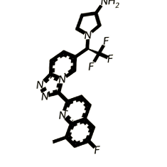 Cc1cc(F)cc2ccc(-c3nnc4ccc([C@@H](N5CCC(N)C5)C(F)(F)F)cn34)nc12